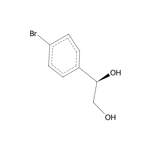 OC[C@H](O)c1ccc(Br)cc1